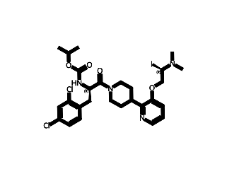 CC(C)OC(=O)N[C@H](Cc1ccc(Cl)cc1Cl)C(=O)N1CCC(c2ncccc2OC[C@@H](I)N(C)C)CC1